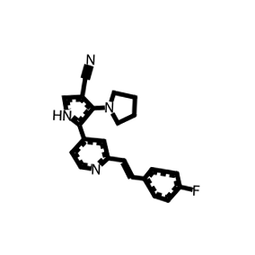 N#Cc1c[nH]c(-c2ccnc(/C=C/c3ccc(F)cc3)c2)c1N1CCCC1